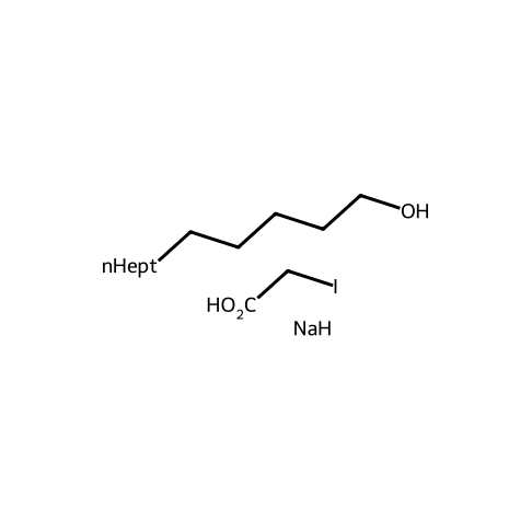 CCCCCCCCCCCCO.O=C(O)CI.[NaH]